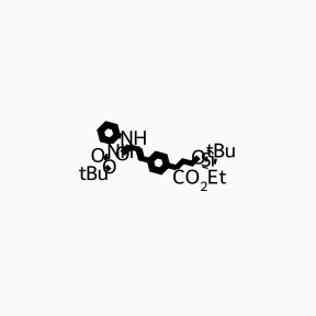 CCOC(=O)C(CCO[Si](C)(C)C(C)(C)C)c1ccc(/C=C/C(=O)Nc2ccccc2NC(=O)OC(C)(C)C)cc1